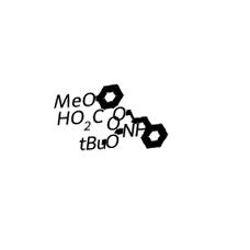 COc1cccc(OC[C@@H](Cc2ccccc2)NC(=O)OC(C)(C)C)c1C(=O)O